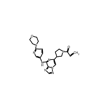 C=CC(=O)N1CCC(c2cn3ncnc3c(Nc3ccc(N4CCOCC4)nc3)n2)C1